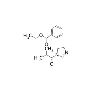 CC(C)C(=O)N1C=NCC1.CCOC(=O)c1ccccc1